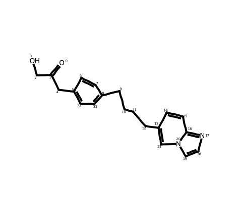 O=C(CO)Cc1ccc(CCCCc2ccc3nccn3c2)cc1